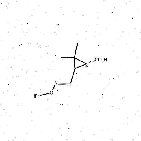 CC(C)ON=CC1[C@@H](C(=O)O)C1(C)C